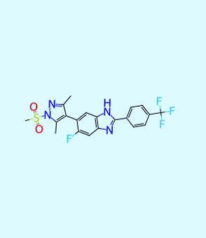 Cc1nn(S(C)(=O)=O)c(C)c1-c1cc2[nH]c(-c3ccc(C(F)(F)F)cc3)nc2cc1F